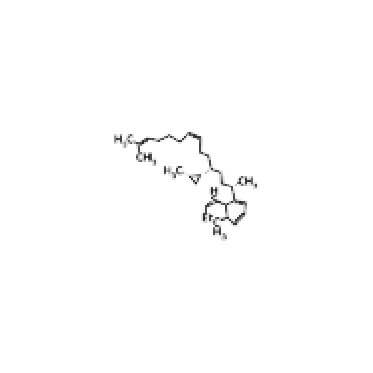 CC/C=[SH]\[C@H]1C([C@@H](C)CCC(CC/C=C\CCCC=C(C)C)[C@@H]2C[C@@H]2C)=CC=C[C@H]1C